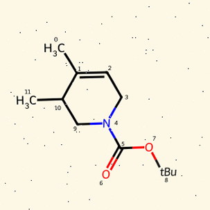 CC1=CCN(C(=O)OC(C)(C)C)CC1C